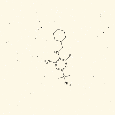 CS(C)(N)c1cc(N)c(NCC2CCCCC2)c(F)c1